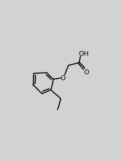 CCc1ccccc1OCC(=O)O